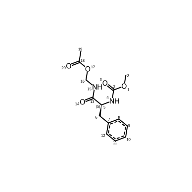 COC(=O)N[C@@H](Cc1ccccc1)C(=O)NCOC(C)=O